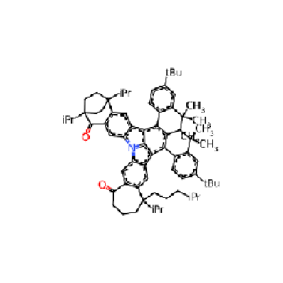 CC(C)CCCC1(C(C)C)CCCC(=O)c2cc3c(cc21)c1c2c4c(c5c6cc7c(cc6n3c15)C(=O)C1(C(C)C)CCC7(C(C)C)CC1)-c1ccc(C(C)(C)C)cc1C(C)(C)C4(C)C(C)(C)c1cc(C(C)(C)C)ccc1-2